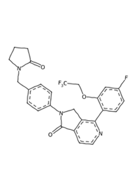 O=C1CCCN1Cc1ccc(N2Cc3c(ccnc3-c3ccc(F)cc3OCC(F)(F)F)C2=O)cc1